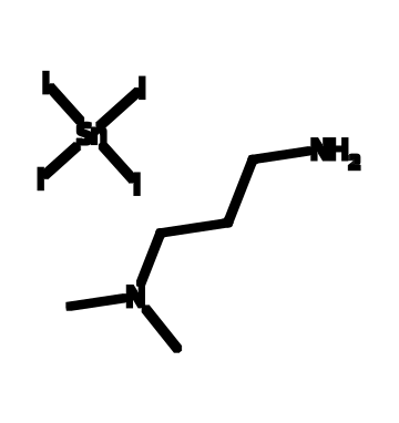 CN(C)CCCN.[I][Sn]([I])([I])[I]